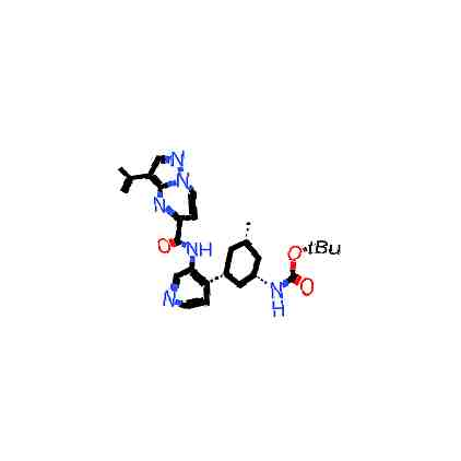 C=C(C)c1cnn2ccc(C(=O)Nc3cnccc3[C@@H]3C[C@H](C)C[C@H](NC(=O)OC(C)(C)C)C3)nc12